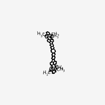 CC(C)c1cccc(C(C)C)c1-n1c(=O)c2ccc3c4cc5cc6ccc7cc8cc9c(cc8cc7ccc6cc5cc4c4ccc(c1=O)c2c34)c1ccc2c(=O)n(-c3c(C(C)C)cccc3C(C)C)c(=O)c3ccc9c1c32